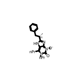 CCCc1c2[nH]c([C@@H](C)Cc3ccccc3)nc2[n+]([O-])c(=O)n1CCC